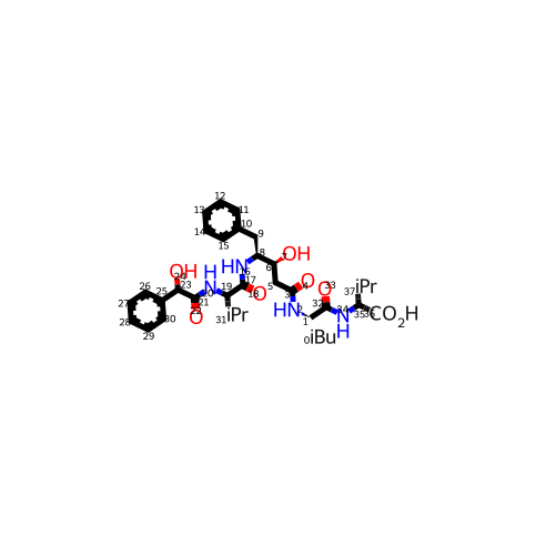 CC[C@H](C)[C@H](NC(=O)C[C@H](O)[C@H](Cc1ccccc1)NC(=O)C(NC(=O)C(O)c1ccccc1)C(C)C)C(=O)NC(C(=O)O)C(C)C